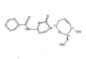 O=C(Nc1ccn([C@@H]2CC=C[C@H](O)[C@@H](CO)O2)c(=O)n1)c1ccccc1